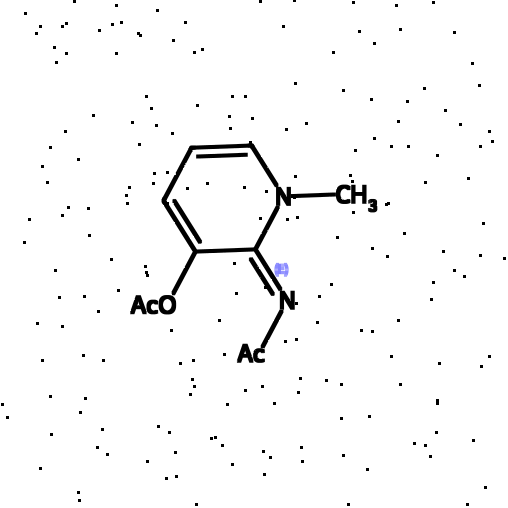 CC(=O)/N=c1\c(OC(C)=O)cccn1C